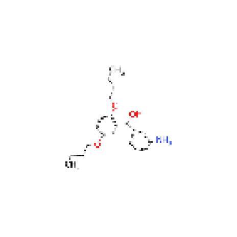 CCCCOc1ccc(OCCCC)c(C(O)c2cccc(N)c2)c1